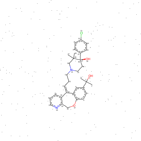 CC(C)(O)c1ccc2c(c1)C(=CCCN1CC[C@@](O)(c3ccc(Cl)cc3)C(C)(C)C1)c1cccnc1CO2